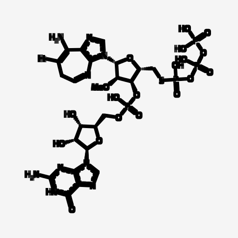 CCC1=C(N)c2ncn([C@@H]3O[C@H](CSP(=O)(O)OP(=O)(O)OP(=O)(O)O)[C@@H](OP(=O)(O)OC[C@H]4O[C@@H](n5cnc6c(=O)[nH]c(N)nc65)[C@H](O)[C@@H]4O)[C@H]3OC)c2N=CC1